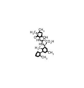 Cc1cc(-c2ccccc2C)c(C)c([C@H](CC(=O)O)NC(=O)Nc2c(O)cc(C)n(C)c2=O)c1